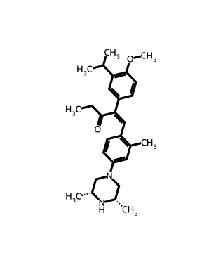 CCC(=O)/C(=C\c1ccc(N2C[C@@H](C)N[C@@H](C)C2)cc1C)c1ccc(OC)c(C(C)C)c1